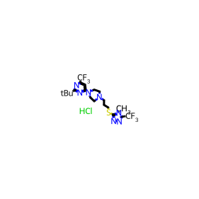 Cl.Cn1c(SCCCN2CCN(c3cc(C(F)(F)F)nc(C(C)(C)C)n3)CC2)nnc1C(F)(F)F